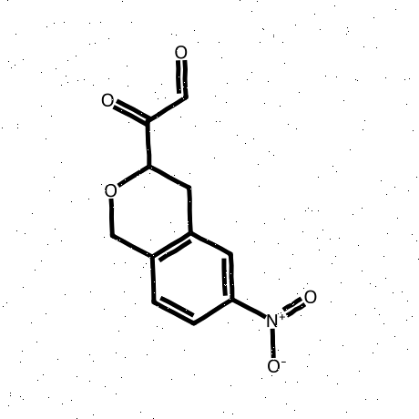 O=CC(=O)C1Cc2cc([N+](=O)[O-])ccc2CO1